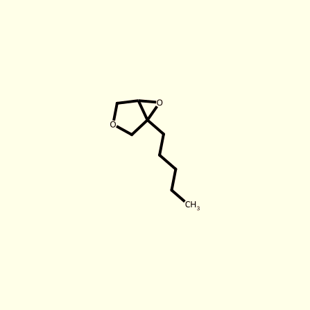 CCCCCC12COCC1O2